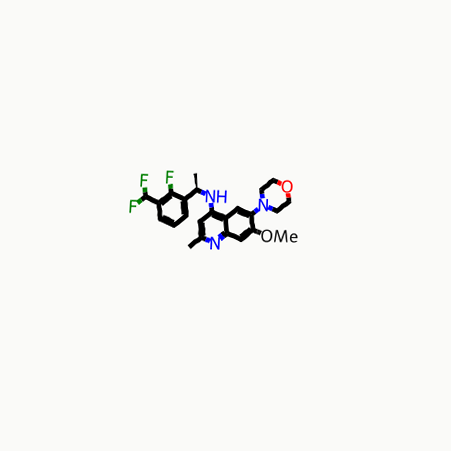 COc1cc2nc(C)cc(N[C@H](C)c3cccc(C(F)F)c3F)c2cc1N1CCOCC1